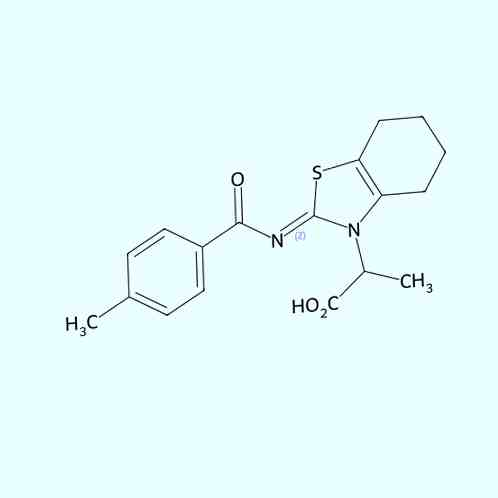 Cc1ccc(C(=O)/N=c2\sc3c(n2C(C)C(=O)O)CCCC3)cc1